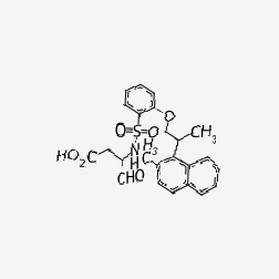 Cc1ccc2ccccc2c1C(C)COc1ccccc1S(=O)(=O)NC(C=O)CC(=O)O